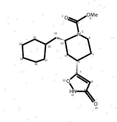 COC(=O)N1CC[C@H](c2cc(=O)[nH]o2)C[C@@H]1CC1CCCCC1